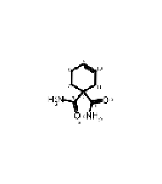 NC(=O)C1(C(N)=O)[CH]CC=CC1